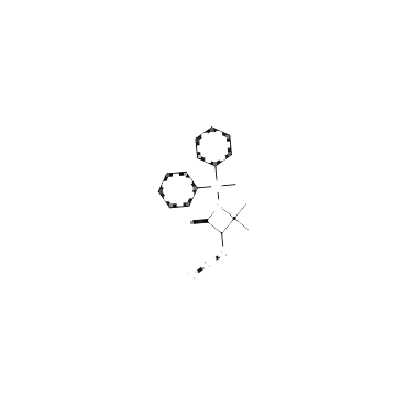 CC1(C)C(N=[N+]=[N-])C(=O)N1[Si](C)(c1ccccc1)c1ccccc1